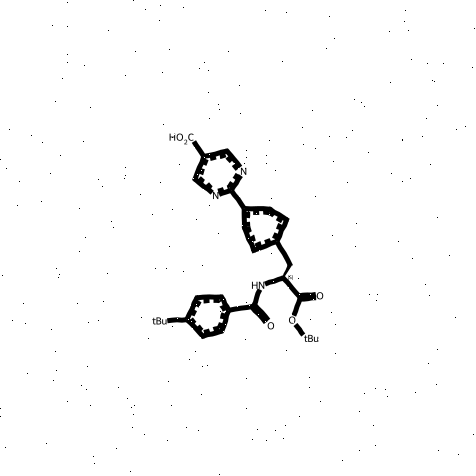 CC(C)(C)OC(=O)[C@H](Cc1ccc(-c2ncc(C(=O)O)cn2)cc1)NC(=O)c1ccc(C(C)(C)C)cc1